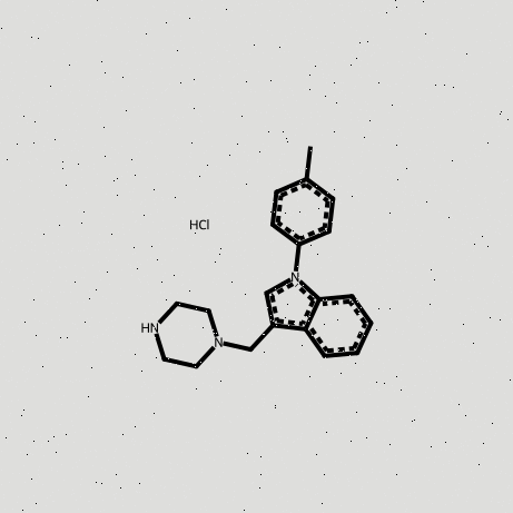 Cc1ccc(-n2cc(CN3CCNCC3)c3ccccc32)cc1.Cl